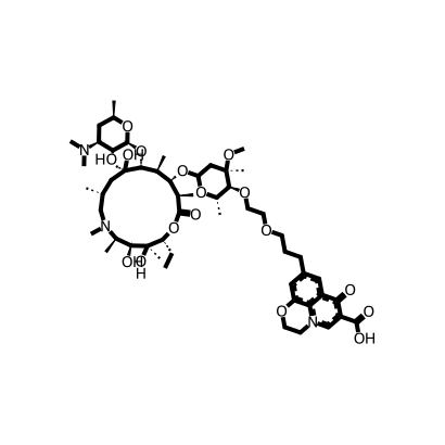 CC[C@H]1OC(=O)[C@H](C)[C@@H](OC2C[C@@](C)(OC)[C@@H](OCCOCCCc3cc4c5c(c3)c(=O)c(C(=O)O)cn5CCO4)[C@H](C)O2)[C@H](C)[C@@H](O[C@@H]2O[C@H](C)C[C@H](N(C)C)[C@H]2O)[C@](C)(O)C[C@@H](C)CN(C)[C@H](C)[C@H](O)[C@]1(C)O